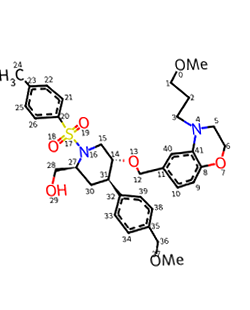 COCCCN1CCOc2ccc(CO[C@H]3CN(S(=O)(=O)c4ccc(C)cc4)[C@H](CO)C[C@@H]3c3ccc(COC)cc3)cc21